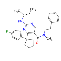 CCC(C)Nc1ncc(C(=O)N(C)CCc2ccccc2)c(C2(c3ccc(F)cc3)CCCC2)n1